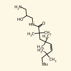 CC(C)(C)CC(C)(C)/C=C\C(C)(C)CC(C)(C)C(=O)NCC(O)CN